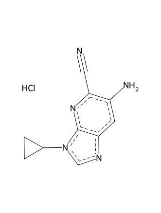 Cl.N#Cc1nc2c(cc1N)ncn2C1CC1